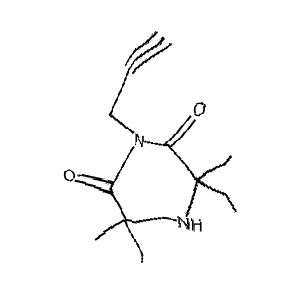 C#CCN1C(=O)C(C)(C)NC(C)(C)C1=O